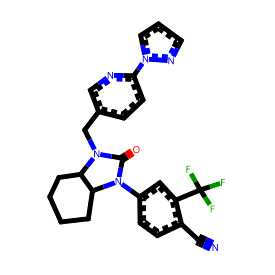 N#Cc1ccc(N2C(=O)N(Cc3ccc(-n4cccn4)nc3)C3CCCCC32)cc1C(F)(F)F